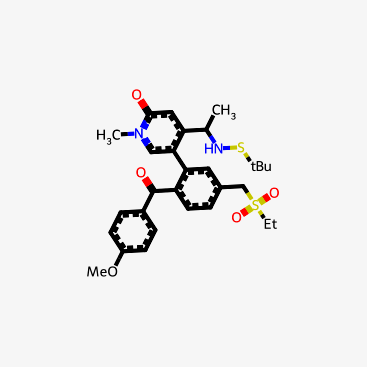 CCS(=O)(=O)Cc1ccc(C(=O)c2ccc(OC)cc2)c(-c2cn(C)c(=O)cc2C(C)NSC(C)(C)C)c1